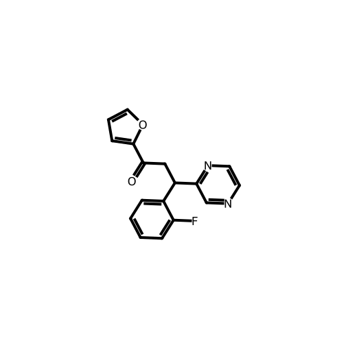 O=C(CC(c1cnccn1)c1ccccc1F)c1ccco1